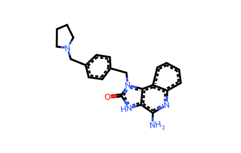 Nc1nc2ccccc2c2c1[nH]c(=O)n2Cc1ccc(CN2CCCC2)cc1